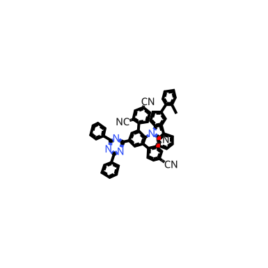 Cc1ccccc1-c1ccc2c(c1)c1ccccc1n2-c1c(-c2ccc(C#N)cc2C#N)cc(-c2nc(-c3ccccc3)nc(-c3ccccc3)n2)cc1-c1ccc(C#N)cc1C#N